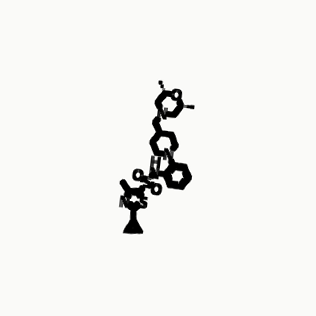 Cc1nc(C2CC2)sc1S(=O)(=O)Nc1ccccc1N1CCC(CN2C[C@@H](C)O[C@@H](C)C2)CC1